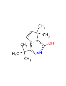 CC(C)(C)c1cnc(O)c2c1C=CC2(C)C